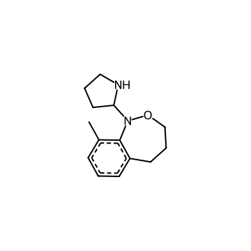 Cc1cccc2c1N(C1CCCN1)OCCC2